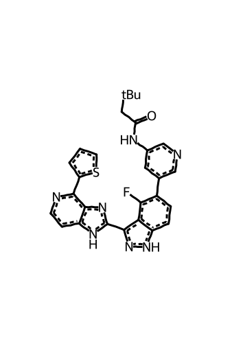 CC(C)(C)CC(=O)Nc1cncc(-c2ccc3[nH]nc(-c4nc5c(-c6cccs6)nccc5[nH]4)c3c2F)c1